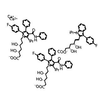 CC(C)c1c(C(=O)Nc2ccccc2)c(-c2ccccc2)c(-c2ccc(F)cc2)n1CC[C@@H](O)C[C@@H](O)CC(=O)[O-].CC(C)c1c(C(=O)Nc2ccccc2)c(-c2ccccc2)c(-c2ccc(F)cc2)n1CC[C@@H](O)C[C@@H](O)CC(=O)[O-].CC(C)n1c(/C=C/[C@H](O)C[C@H](O)CC(=O)[O-])c(-c2ccc(F)cc2)c2ccccc21.[Ca+2].[Ca+]